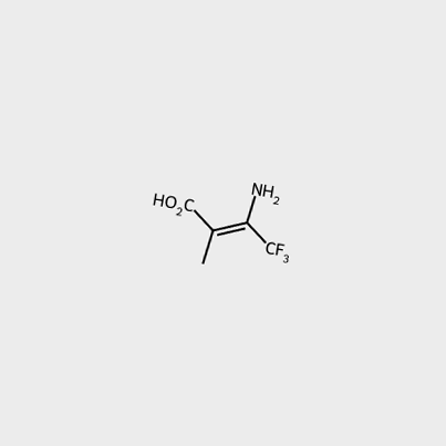 CC(C(=O)O)=C(N)C(F)(F)F